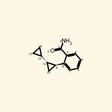 NC(=O)c1ccccc1[C@H]1C[C@@H]1C1CC1